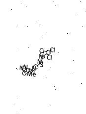 COc1cncnc1OCC(=O)N1CCC(c2nc(C3=NOC(c4c(Cl)cc(Cl)cc4Cl)C3)cs2)CC1